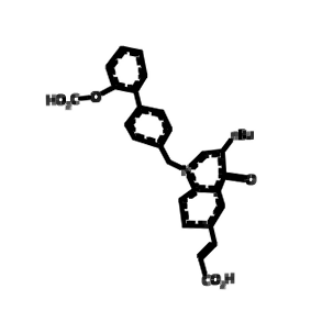 CCCCc1cn(Cc2ccc(-c3ccccc3OC(=O)O)cc2)c2ccc(C=CC(=O)O)cc2c1=O